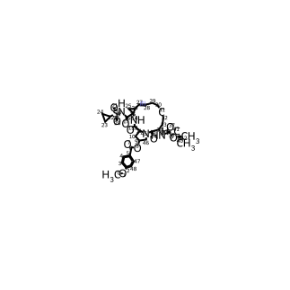 COc1ccc(C(=O)OC2CC3C(=O)NC4(C(=O)NS(=O)(=O)C5CC5)CC4/C=C/CCCCCC(NC(=O)OC(C)(C)C)C(=O)N3C2)cc1